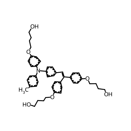 Cc1ccc(N(c2ccc(C=C(c3ccc(OCCCCO)cc3)c3ccc(OCCCCO)cc3)cc2)c2ccc(OCCCCO)cc2)cc1